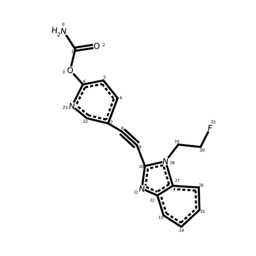 NC(=O)Oc1ccc(C#Cc2nc3ccccc3n2CCF)cn1